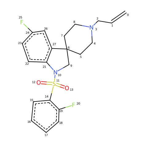 C=CCN1CCC2(CC1)CN(S(=O)(=O)c1ccccc1F)c1ccc(F)cc12